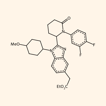 CCOC(=O)Cc1ccc2c(c1)nc(C1CCCC(=O)N1c1ccc(F)c(F)c1)n2C1CCC(OC)CC1